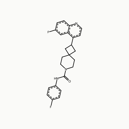 O=C(Nc1ccc(F)cc1)N1CCC2(CC1)CC(c1ccnc3ccc(F)cc13)C2